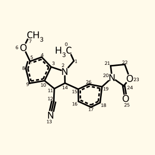 CCN1c2cc(OC)ccc2C(C#N)C1c1cccc(N2CCOC2=O)c1